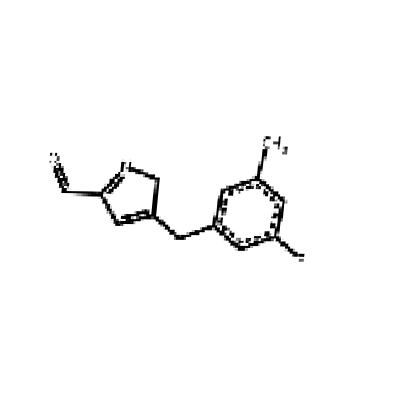 Cc1cc(F)cc(CC2=CC(C=O)=NC2)c1